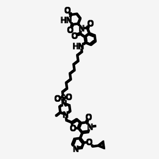 CC1CN(S(=O)(=O)CCCCCCCCCCNc2cccc3c2C(=O)N(C2CCC(=O)NC2=O)C3=O)CCN1Cc1cc2c(=O)n(C)cc(-c3ccncc3OCC3CC3)c2o1